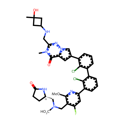 COc1nc(-c2cccc(-c3cccc(-c4cc5c(=O)n(C)c(CNC6CC(C)(O)C6)nn5c4)c3Cl)c2Cl)cc(F)c1CN(C[C@@H]1CCC(=O)N1)C(=O)O